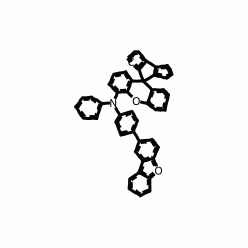 c1ccc(N(c2ccc(-c3ccc4oc5ccccc5c4c3)cc2)c2cccc3c2Oc2ccccc2C32c3ccccc3-c3ccccc32)cc1